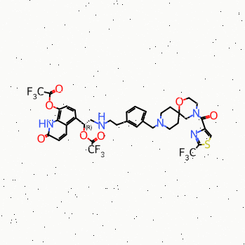 O=C(c1csc(C(F)(F)F)n1)N1CCOC2(CCN(Cc3cccc(CCNC[C@H](OC(=O)C(F)(F)F)c4ccc(OC(=O)C(F)(F)F)c5[nH]c(=O)ccc45)c3)CC2)C1